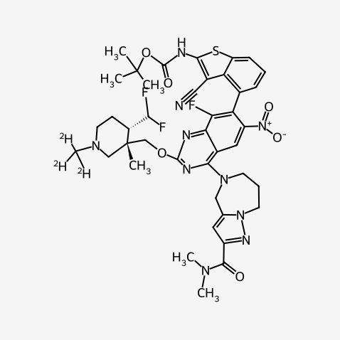 [2H]C([2H])([2H])N1CC[C@H](C(F)F)[C@](C)(COc2nc(N3CCCn4nc(C(=O)N(C)C)cc4C3)c3cc([N+](=O)[O-])c(-c4cccc5sc(NC(=O)OC(C)(C)C)c(C#N)c45)c(F)c3n2)C1